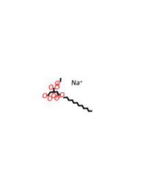 CCCCCCCCCCCCOC(=O)CC(O)(CC(=O)[O-])C(=O)OOCC.[Na+]